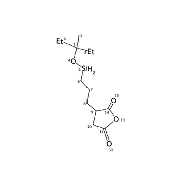 CCC(C)(CC)O[SiH2]CCCC1CC(=O)OC1=O